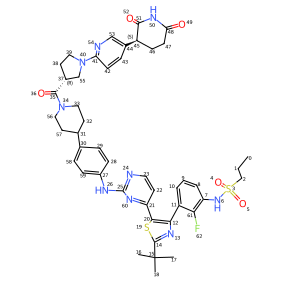 CCCS(=O)(=O)Nc1cccc(-c2nc(C(C)(C)C)sc2-c2ccnc(Nc3ccc(C4CCN(C(=O)[C@@H]5CCN(c6ccc([C@@H]7CCC(=O)NC7=O)cn6)C5)CC4)cc3)n2)c1F